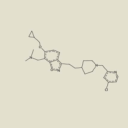 CN(C)Cc1c(OCC2CC2)ccc2c(CCC3CCN(Cc4cc(Cl)ccn4)CC3)noc12